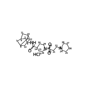 Cl.O=C(NC12CC3CC(CC(C3)C1)C2)C1CCN(S(=O)(=O)CCN2CCCCC2)CC1